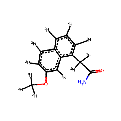 [2H]c1c([2H])c(C([2H])([2H])C(N)=O)c2c([2H])c(OC([2H])([2H])[2H])c([2H])c([2H])c2c1[2H]